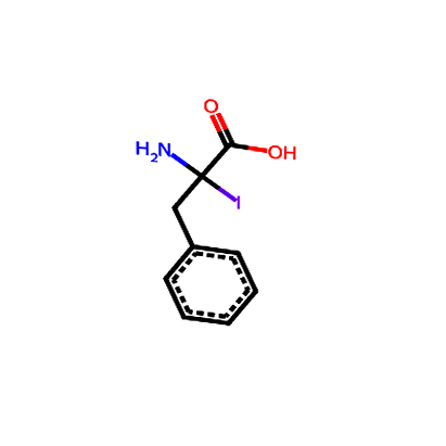 NC(I)(Cc1ccccc1)C(=O)O